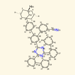 C[C@@H]1C[C@@H]2C[C@H](C)CC(c3ccc(-c4ccc(-c5nc(-c6ccccc6-c6ccccc6)nc(-c6ccccc6-c6ccccc6)n5)cc4-c4cccc(C#N)c4)cc3)(C1)C2